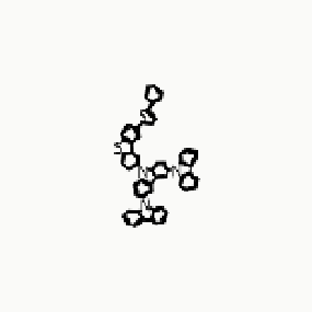 c1ccc(-c2ccc(-c3ccc4sc5ccc(-n6c7ccc(-n8c9ccccc9c9ccccc98)cc7c7cc(-n8c9ccccc9c9ccccc98)ccc76)cc5c4c3)s2)cc1